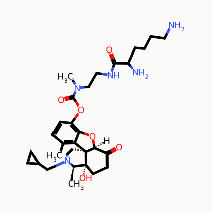 Cc1ccc(OC(=O)N(C)CCNC(=O)C(N)CCCCN)c2c1[C@]13CCN(CC4CC4)[C@H](C)[C@]1(O)CCC(=O)[C@@H]3O2